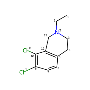 CCN1CCc2ccc(Cl)c(Cl)c2C1